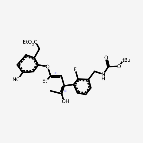 CCOC(=O)Cc1ccc(C#N)cc1O/C(=C/C(=C(\C)O)c1cccc(CNC(=O)OC(C)(C)C)c1F)CC